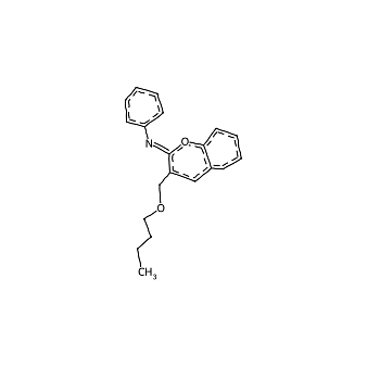 CCCCOCc1cc2ccccc2o/c1=N\c1ccccc1